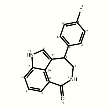 O=C1NCC(c2ccc(F)cc2)c2c[nH]c3cccc1c23